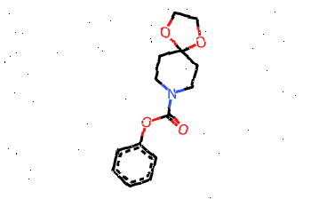 O=C(Oc1ccccc1)N1CCC2(CC1)OCCO2